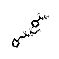 CC(C)CC(NC(=O)/C=C/c1ccccc1)Oc1ccc(C(=O)NO)cc1